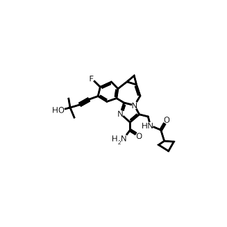 CC(C)(O)C#Cc1cc2c(cc1F)C1CC1=Cn1c-2nc(C(N)=O)c1CNC(=O)C1CCC1